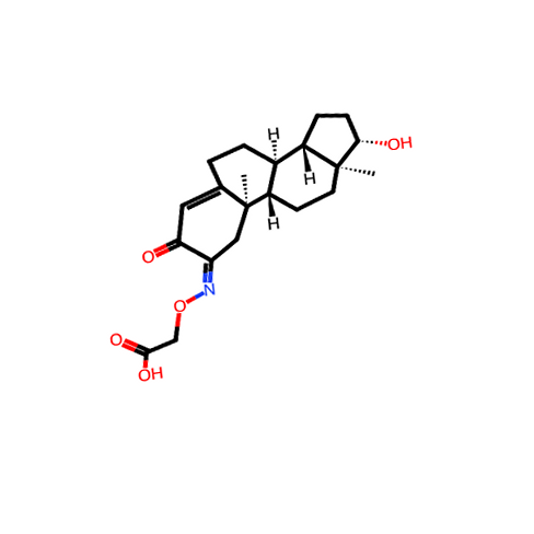 C[C@]12CC[C@H]3[C@@H](CCC4=CC(=O)C(=NOCC(=O)O)C[C@@]43C)[C@@H]1CC[C@@H]2O